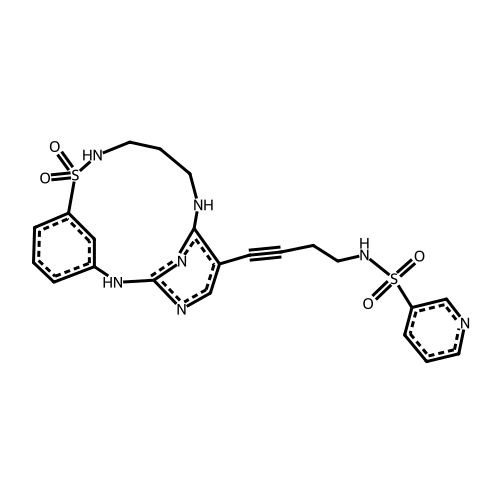 O=S(=O)(NCCC#Cc1cnc2nc1NCCCNS(=O)(=O)c1cccc(c1)N2)c1cccnc1